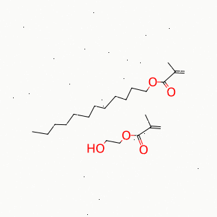 C=C(C)C(=O)OCCCCCCCCCCCC.C=C(C)C(=O)OCCO